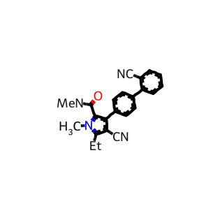 CCc1c(C#N)c(-c2ccc(-c3ccccc3C#N)cc2)c(C(=O)NC)n1C